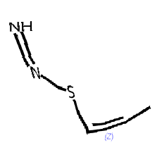 C/C=C\SN=N